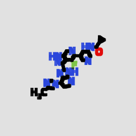 Cc1cn(-c2ccnc3[nH]c(-c4n[nH]c5cnc(-c6cncc(NC(=O)C7CC7)c6)c(F)c45)nc23)cn1